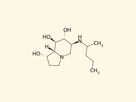 CCCC(C)N[C@H]1CN2CC[C@H](O)[C@@H]2[C@@H](O)[C@@H]1O